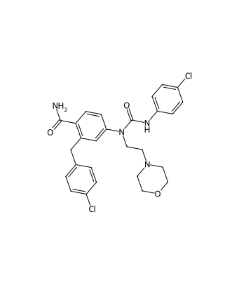 NC(=O)c1ccc(N(CCN2CCOCC2)C(=O)Nc2ccc(Cl)cc2)cc1Cc1ccc(Cl)cc1